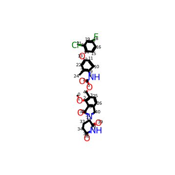 COc1c(COC(=O)Nc2ccc(Oc3ccc(F)cc3Cl)cc2C)ccc2c1C(=O)N(C1CCC(=O)NC1=O)C2